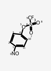 O=Nc1ccc(OS(=O)(=O)C(F)(F)F)cc1